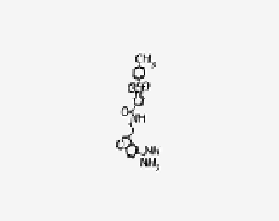 Cc1ccc(S(=O)(=O)n2ccc(C(=O)NCCC3COc4ccc(C(=N)N)cc43)c2)cc1